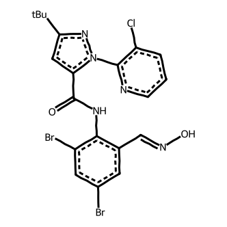 CC(C)(C)c1cc(C(=O)Nc2c(Br)cc(Br)cc2/C=N/O)n(-c2ncccc2Cl)n1